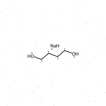 OCCCCO.[NaH]